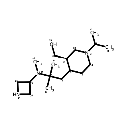 CC(C)N1CCC(CC(C)(C)N(C)C2CNC2)[C@@H](CO)C1